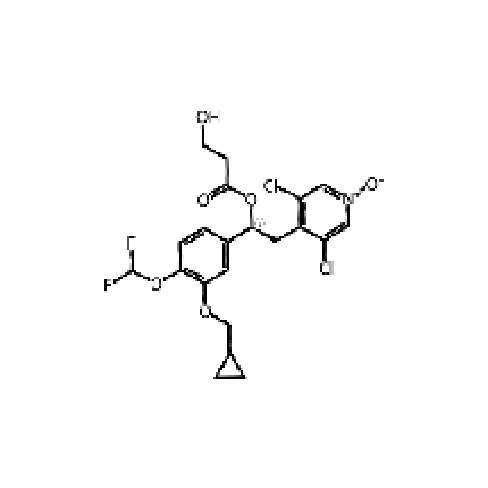 O=C(CCO)O[C@@H](Cc1c(Cl)c[n+]([O-])cc1Cl)c1ccc(OC(F)F)c(OCC2CC2)c1